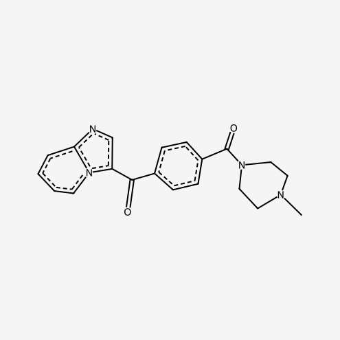 CN1CCN(C(=O)c2ccc(C(=O)c3cnc4ccccn34)cc2)CC1